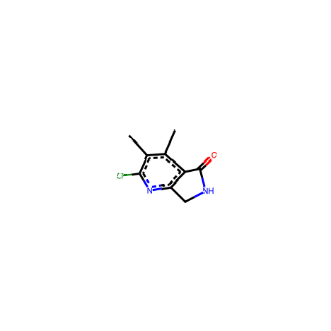 Cc1c(Cl)nc2c(c1C)C(=O)NC2